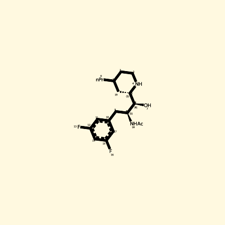 CCCC1CCN[C@H]([C@@H](O)[C@H](Cc2cc(F)cc(F)c2)NC(C)=O)C1